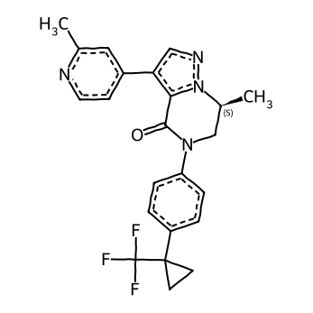 Cc1cc(-c2cnn3c2C(=O)N(c2ccc(C4(C(F)(F)F)CC4)cc2)C[C@@H]3C)ccn1